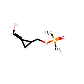 B/C=C1/CC1COP(C)(C)=O